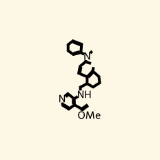 C=C(OC)c1ccncc1NCC1CCCC(C)=C1/C=C\C(C)N(C)C1=CCCC=C1